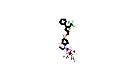 CC(C)(C)OC(=O)N1CCOc2cc(OCc3cc(-c4ccccc4)c(C(F)(F)F)s3)ccc21